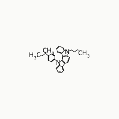 CCCCn1c2ccccc2c2c1ccc1c3ccccc3n(-c3ccc(C(C)CC)cc3)c12